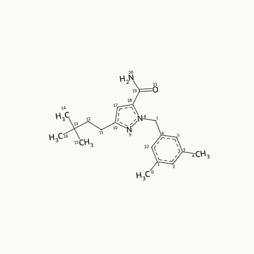 Cc1cc(C)cc(Cn2nc(CCC(C)(C)C)cc2C(N)=O)c1